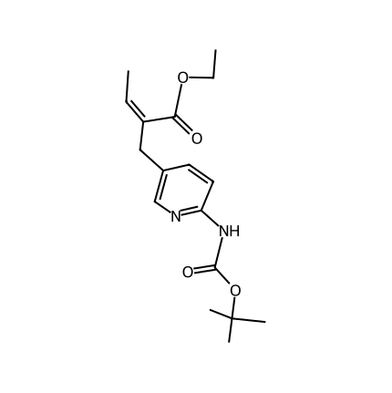 CC=C(Cc1ccc(NC(=O)OC(C)(C)C)nc1)C(=O)OCC